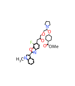 COC(=O)[C@H]1CC[C@H](OC(COCC(=O)Cc2ccc3nc(-c4cn(C)c5ccccc45)oc3c2F)N2CCCC2)CC1